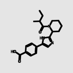 CCC(C)C(=O)N1CCCCC1c1ncc(-c2ccc(C(=O)O)cc2)[nH]1